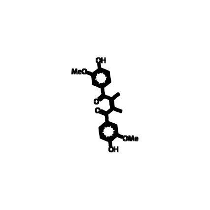 COc1cc(C(=O)C(C)=C(C)C(=O)c2ccc(O)c(OC)c2)ccc1O